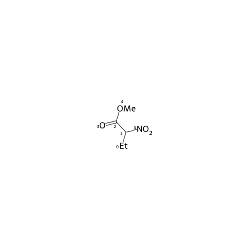 CCC(C(=O)OC)[N+](=O)[O-]